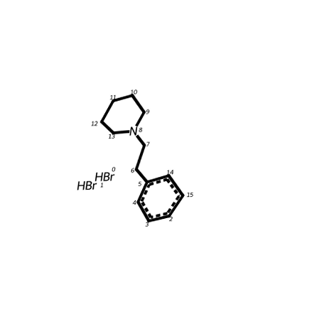 Br.Br.c1ccc(CCN2CCCCC2)cc1